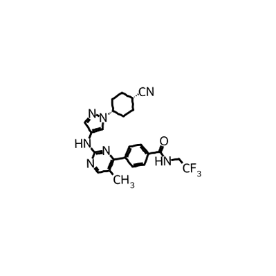 Cc1cnc(Nc2cnn([C@H]3CC[C@@H](C#N)CC3)c2)nc1-c1ccc(C(=O)NCC(F)(F)F)cc1